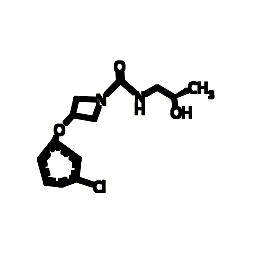 C[C@@H](O)CNC(=O)N1CC(Oc2cccc(Cl)c2)C1